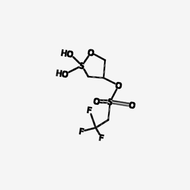 O=S(=O)(CC(F)(F)F)OC1COS(O)(O)C1